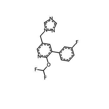 Fc1cccc(-c2cc(Cn3cncn3)cnc2OC(F)F)c1